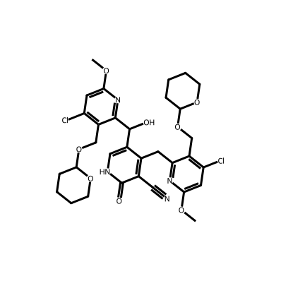 COc1cc(Cl)c(COC2CCCCO2)c(Cc2c(C(O)c3nc(OC)cc(Cl)c3COC3CCCCO3)c[nH]c(=O)c2C#N)n1